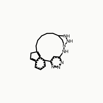 C1=c2cccc3c2=C(C1)CCCCCC1CN(NN1)Nc1cc-3nnn1